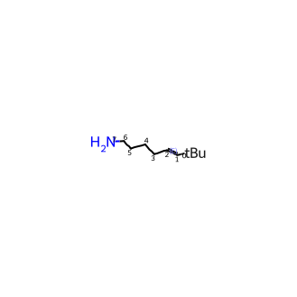 CC(C)(C)/C=C/CCCCN